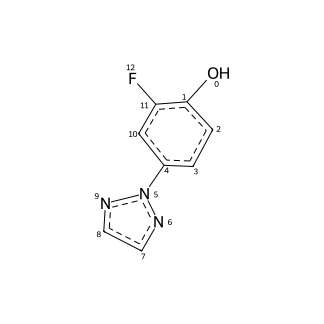 Oc1ccc(-n2nccn2)cc1F